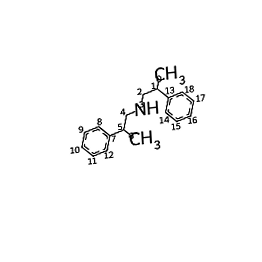 CC(CNCC(C)c1ccccc1)c1ccccc1